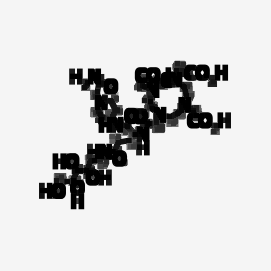 NC(=O)CN1CCC(NC(=O)[C@@H](CCC(=O)NCC[C@@H](O)[C@H](O)[C@H](O)CO)NC(=O)CN2CCN(CC(=O)O)CCN(CC(=O)O)CCN(CC(=O)O)CC2)CC1